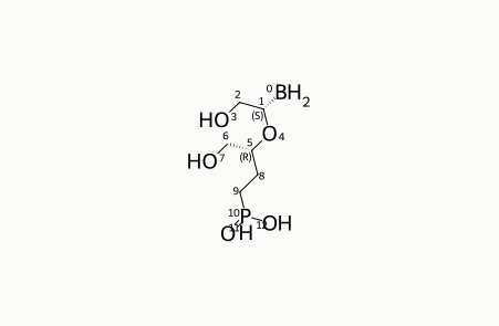 B[C@@H](CO)O[C@@H](CO)CC[PH](=O)O